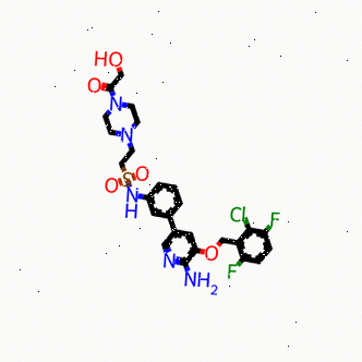 Nc1ncc(-c2cccc(NS(=O)(=O)CCN3CCN(C(=O)CO)CC3)c2)cc1OCc1c(F)ccc(F)c1Cl